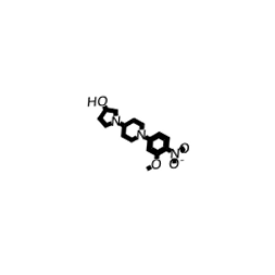 COc1cc(N2CCC(N3CCC(O)C3)CC2)ccc1[N+](=O)[O-]